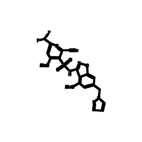 COc1cc(C(F)F)nc(OC)c1S(=O)(=O)Nc1noc2cc(Cn3cccn3)cc(OC)c12